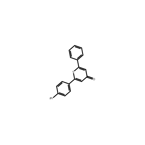 CC(C)c1ccc(-c2cc(=O)cc(-c3ccccc3)s2)cc1